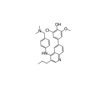 CCCc1cnc2ccc(-c3cc(Cl)c(O)c(OC)c3)cc2c1Nc1ccc(CN(C)C)cc1